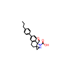 CCCc1ccc(-c2ccc3c(c2)CCC2(CC2)[C@]3(C=O)NC(=O)O)cc1